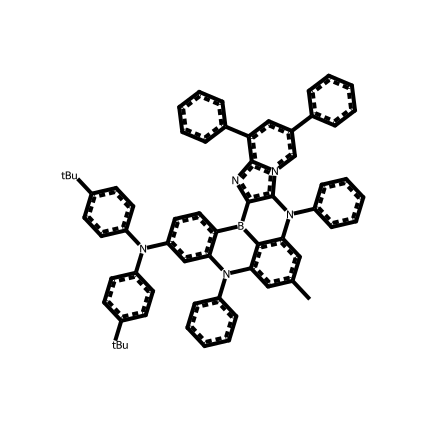 Cc1cc2c3c(c1)N(c1ccccc1)c1c(nc4c(-c5ccccc5)cc(-c5ccccc5)cn14)B3c1ccc(N(c3ccc(C(C)(C)C)cc3)c3ccc(C(C)(C)C)cc3)cc1N2c1ccccc1